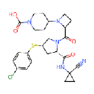 N#CC1(NC(=O)[C@@H]2C[C@@H](Sc3ccc(Cl)cc3)CN2C(=O)C2CCN2C2CCN(C(=O)O)CC2)CC1